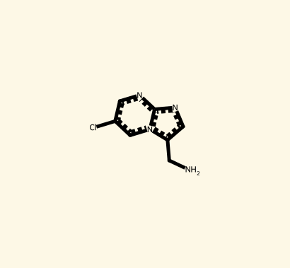 NCc1cnc2ncc(Cl)cn12